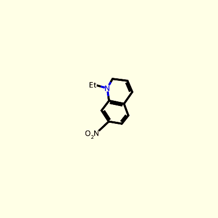 CCN1CC=Cc2ccc([N+](=O)[O-])cc21